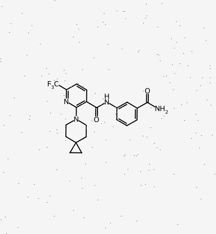 NC(=O)c1cccc(NC(=O)c2ccc(C(F)(F)F)nc2N2CCC3(CC2)CC3)c1